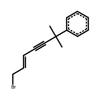 CC(C)(C#CC=CCBr)c1ccccc1